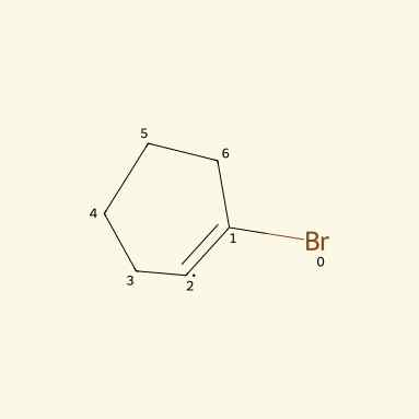 BrC1=[C]CCCC1